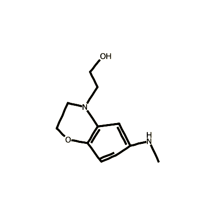 CNc1ccc2c(c1)N(CCO)CCO2